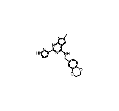 Cc1cc2c(NCc3ccc4c(c3)OCCO4)nc(-c3cc[nH]n3)nc2s1